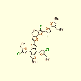 CC(C)Cc1cc(-c2cc3c(-c4cc(Cl)c(CC(C)C)s4)c4sc(C(C)(C)C)cc4c(-c4cc(Cl)c(CC(C)C)s4)c3s2)sc1-c1cc(F)c(-c2sc(-c3sc(C(C)(C)C)cc3CC(C)C)cc2F)s1